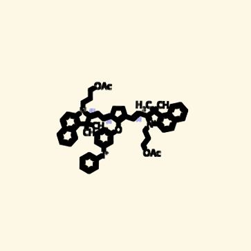 CC(=O)OCCCN1/C(=C/C=C2\CCC(/C=C/C3=[N+](CCCOC(C)=O)c4ccc5ccccc5c4C3(C)C)=C2Oc2cccc([I+]c3ccccc3)c2)C(C)(C)c2c1ccc1ccccc21